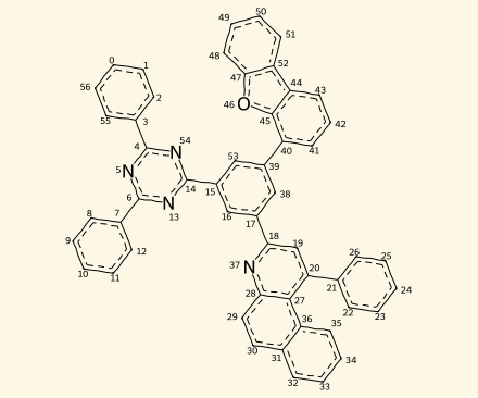 c1ccc(-c2nc(-c3ccccc3)nc(-c3cc(-c4cc(-c5ccccc5)c5c(ccc6ccccc65)n4)cc(-c4cccc5c4oc4ccccc45)c3)n2)cc1